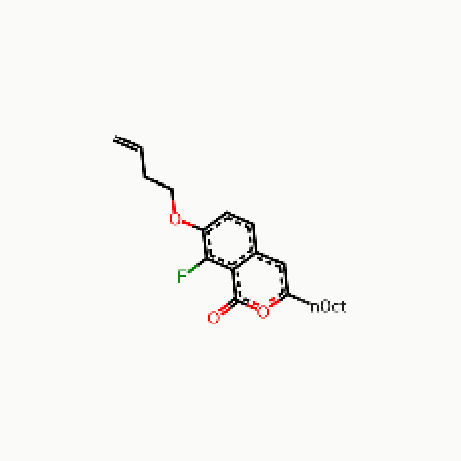 C=CCCOc1ccc2cc(CCCCCCCC)oc(=O)c2c1F